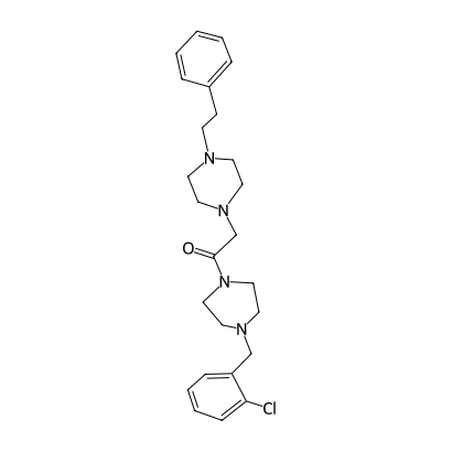 O=C(CN1CCN(CCc2ccccc2)CC1)N1CCN(Cc2ccccc2Cl)CC1